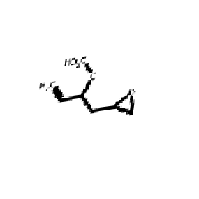 C=CC(CC1CO1)OC(=O)O